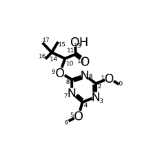 COc1nc(OC)nc(OC(C(=O)O)C(C)(C)C)n1